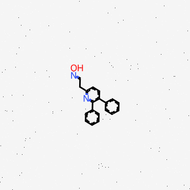 ON=CCc1ccc(-c2ccccc2)c(-c2ccccc2)n1